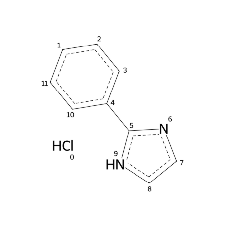 Cl.c1ccc(-c2ncc[nH]2)cc1